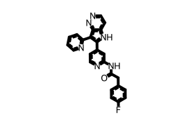 O=C(Cc1ccc(F)cc1)Nc1cc(-c2[nH]c3ccnnc3c2-c2ccccn2)ccn1